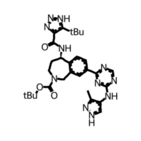 Cc1n[nH]cc1Nc1ncnc(-c2ccc3c(c2)CN(C(=O)OC(C)(C)C)CC[C@H]3NC(=O)c2nn[nH]c2C(C)(C)C)n1